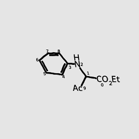 CCOC(=O)C(Nc1ccccc1)C(C)=O